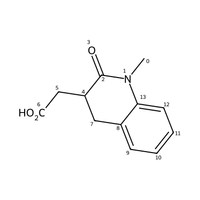 CN1C(=O)C(CC(=O)O)Cc2ccccc21